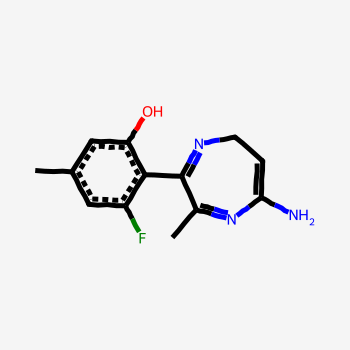 CC1=NC(N)=CCN=C1c1c(O)cc(C)cc1F